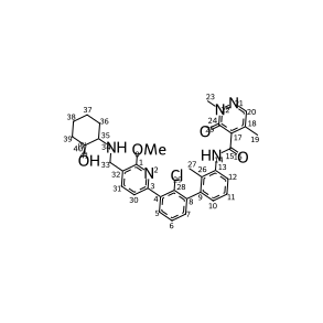 COc1nc(-c2cccc(-c3cccc(NC(=O)c4c(C)cnn(C)c4=O)c3C)c2Cl)ccc1CNC1CCCC[C@@H]1O